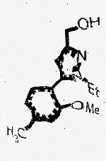 CCn1nc(CO)cc1-c1ccc(C)cc1OC